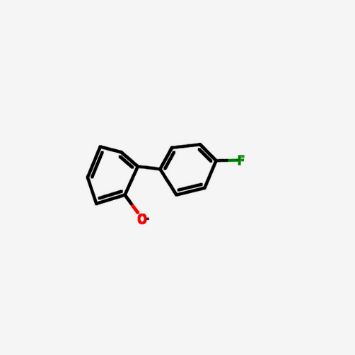 [O]c1ccccc1-c1ccc(F)cc1